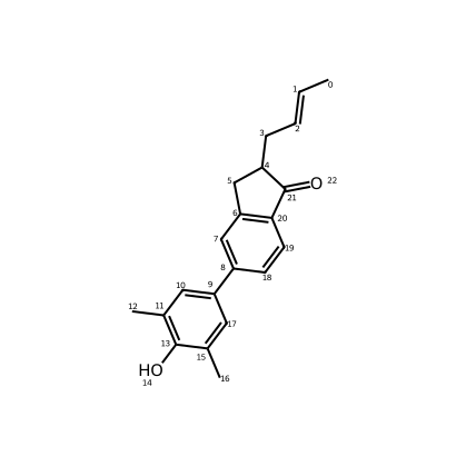 CC=CCC1Cc2cc(-c3cc(C)c(O)c(C)c3)ccc2C1=O